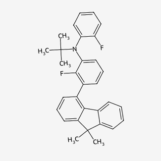 CC1(C)c2ccccc2-c2c(-c3cccc(N(c4ccccc4F)C(C)(C)C)c3F)cccc21